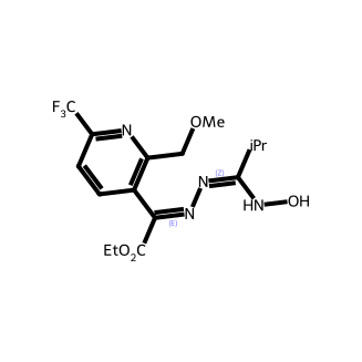 CCOC(=O)/C(=N/N=C(\NO)C(C)C)c1ccc(C(F)(F)F)nc1COC